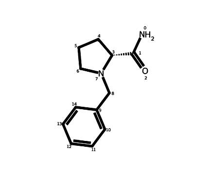 NC(=O)[C@H]1[CH]CCN1Cc1ccccc1